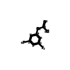 O=C(Cl)Oc1cc(F)cc(F)c1